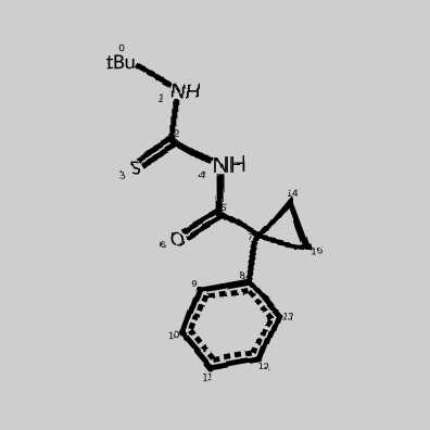 CC(C)(C)NC(=S)NC(=O)C1(c2ccccc2)CC1